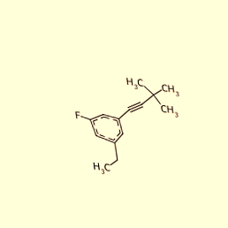 CCc1cc(F)cc(C#CC(C)(C)C)c1